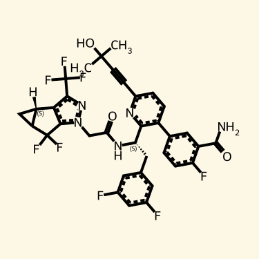 CC(C)(O)C#Cc1ccc(-c2ccc(F)c(C(N)=O)c2)c([C@H](Cc2cc(F)cc(F)c2)NC(=O)Cn2nc(C(F)(F)F)c3c2C(F)(F)C2C[C@H]32)n1